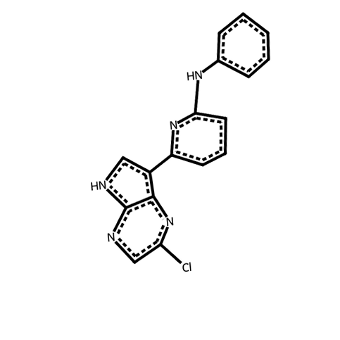 Clc1cnc2[nH]cc(-c3cccc(Nc4ccccc4)n3)c2n1